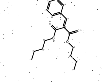 CCCCOC(=O)C(=Cc1cc[c]cc1)C(=O)OCCCC